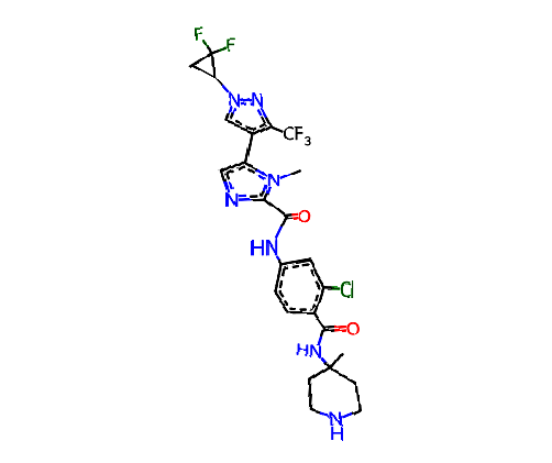 Cn1c(-c2cn(C3CC3(F)F)nc2C(F)(F)F)cnc1C(=O)Nc1ccc(C(=O)NC2(C)CCNCC2)c(Cl)c1